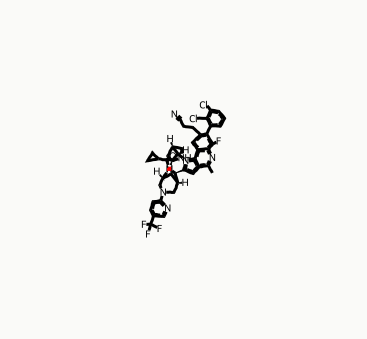 Cc1nc2c(F)c(-c3cccc(Cl)c3Cl)c(CCC#N)cc2c2c1cc([C@H]1[C@H]3C[C@H](CN(c4ccc(C(F)(F)F)cn4)C3)N1C(=O)C1CC1)n2[C@H]1[C@H]2CN[C@@H]1C2